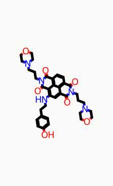 O=C1c2ccc3c4c(c(NCCc5ccc(O)cc5)cc(c24)C(=O)N1CCCN1CCOCC1)C(=O)N(CCCN1CCOCC1)C3=O